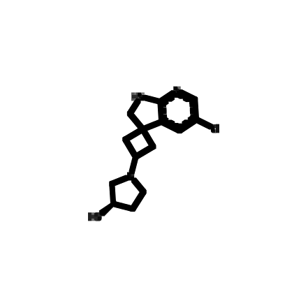 O[C@@H]1CCN(C2CC3(CNc4ncc(Cl)cc43)C2)C1